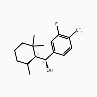 CC1CCCC(C)(C)[C@H]1[C@H](O)c1ccc(C(F)(F)F)c(F)c1